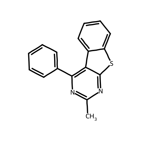 Cc1nc(-c2ccccc2)c2c(n1)sc1ccccc12